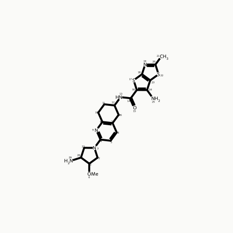 COC1CN(c2ccc3c(n2)CCC(NC(=O)c2sc4nc(C)sc4c2N)C3)CC1N